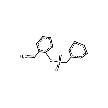 C=Cc1ccccc1OS(=O)(=O)Cc1ccccc1